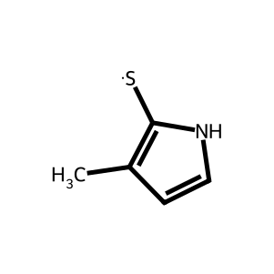 Cc1cc[nH]c1[S]